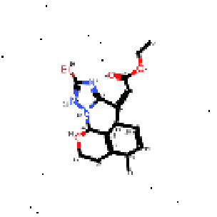 CCOC(=O)/C=C1\c2nc(Br)nn2C2OCCC3=C2C1(C)C=CC3C